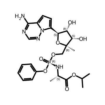 CC(C)OC(=O)[C@H](C)N[P@@](=O)(OC[C@@]1(C)O[C@@H](c2ccc3c(N)ncnn23)[C@H](O)[C@@H]1O)Oc1ccccc1